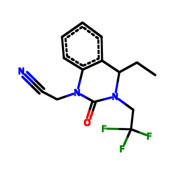 CCC1c2ccccc2N(CC#N)C(=O)N1CC(F)(F)F